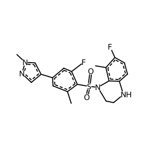 Cc1cc(-c2cnn(C)c2)cc(F)c1S(=O)(=O)N1CCNc2ccc(F)c(C)c21